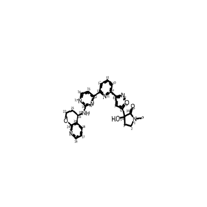 CN1CCC(O)(c2cc(-c3cccc(-c4ccnc(NC5CCOc6ncccc65)n4)n3)no2)C1=O